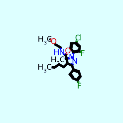 CCCCC1C(c2ccc(F)cc2)=NN(c2ccc(Cl)cc2F)C1(C)C(=O)NCCOC